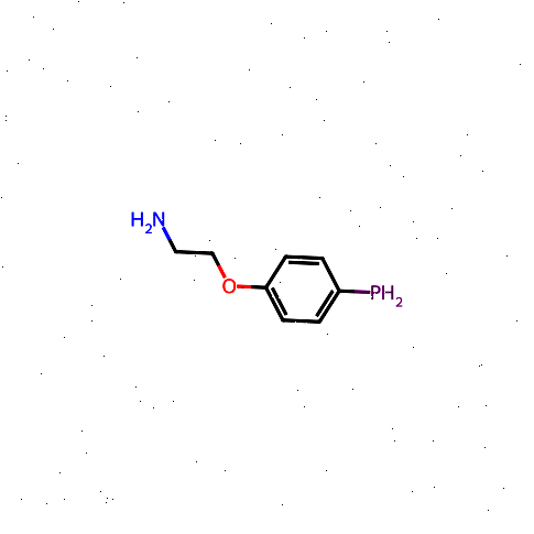 NCCOc1ccc(P)cc1